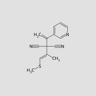 C=C(c1cccnc1)C(C#N)(C#N)C(C)=CSC